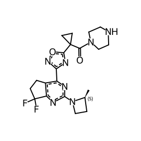 C[C@H]1CCN1c1nc(-c2noc(C3(C(=O)N4CCNCC4)CC3)n2)c2c(n1)C(F)(F)CC2